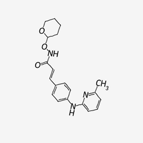 Cc1cccc(Nc2ccc(C=CC(=O)NOC3CCCCO3)cc2)n1